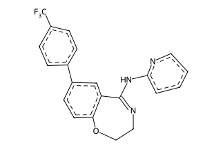 FC(F)(F)c1ccc(-c2ccc3c(c2)C(Nc2ccccn2)=NCCO3)cc1